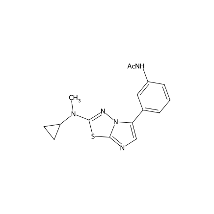 CC(=O)Nc1cccc(-c2cnc3sc(N(C)C4CC4)nn23)c1